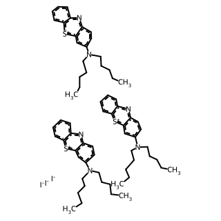 CCCCCN(CCCCC)c1ccc2nc3ccccc3[s+]c2c1.CCCCCN(CCCCC)c1ccc2nc3ccccc3[s+]c2c1.CCCCCN(CCCCC)c1ccc2nc3ccccc3[s+]c2c1.[I-].[I-].[I-]